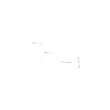 O=C(NI)OCC1CC1